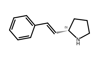 C(=C[C@@H]1CCCN1)c1ccccc1